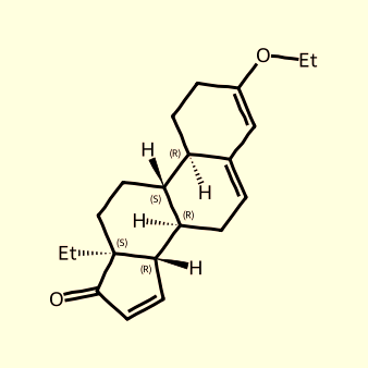 CCOC1=CC2=CC[C@@H]3[C@H](CC[C@]4(CC)C(=O)C=C[C@@H]34)[C@H]2CC1